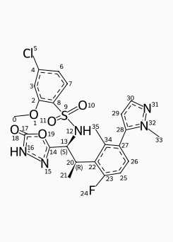 COc1cc(Cl)ccc1S(=O)(=O)N[C@H](c1n[nH]c(=O)o1)[C@H](C)c1c(F)ccc(-c2ccnn2C)c1C